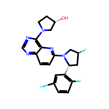 O[C@H]1CCN(c2ncnc3ccc(N4C[C@@H](F)C[C@@H]4c4cc(F)ccc4F)nc23)C1